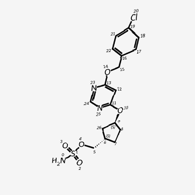 NS(=O)(=O)OC[C@H]1CC[C@H](Oc2cc(OCc3ccc(Cl)cc3)ncn2)C1